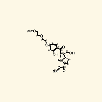 COCCOCCOc1ccc(C(=O)N[C@@H](CO)[C@@H]2CC[C@H](C(=O)OC(C)(C)C)N2C)c(O)c1